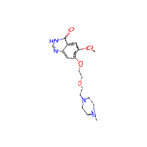 COc1cc2c(=O)[nH]cnc2cc1OCCOCCN1CCN(C)CC1